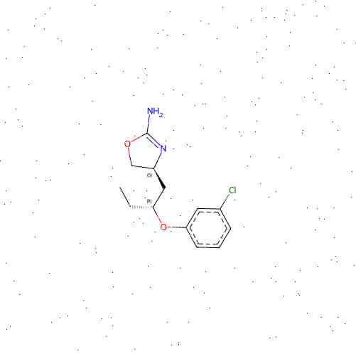 CC[C@H](C[C@H]1COC(N)=N1)Oc1cccc(Cl)c1